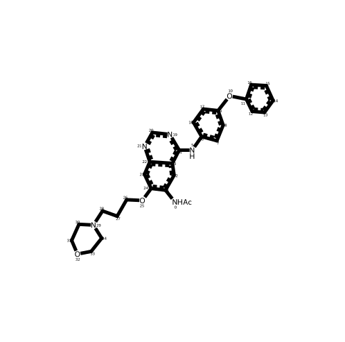 CC(=O)Nc1cc2c(Nc3ccc(Oc4ccccc4)cc3)ncnc2cc1OCCCN1CCOCC1